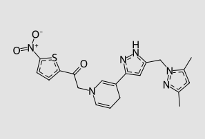 Cc1cc(C)n(Cc2cc(C3=CN(CC(=O)c4ccc([N+](=O)[O-])s4)C=CC3)n[nH]2)n1